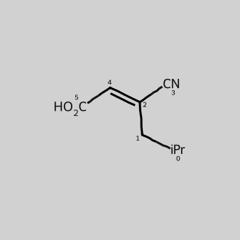 CC(C)C/C(C#N)=C\C(=O)O